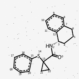 O=C(N[C@H]1CCCc2ccccc21)C1(Sc2ccccc2)CC1